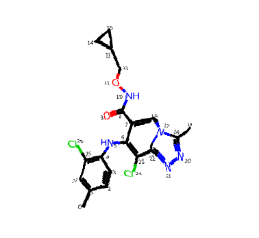 Cc1ccc(Nc2c(C(=O)NOCC3CC3)cn3c(C)nnc3c2Cl)c(Cl)c1